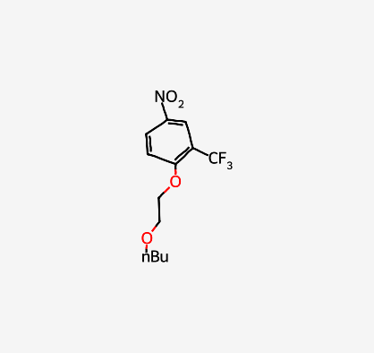 CCCCOCCOc1ccc([N+](=O)[O-])cc1C(F)(F)F